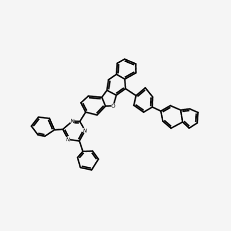 c1ccc(-c2nc(-c3ccccc3)nc(-c3ccc4c(c3)oc3c(-c5ccc(-c6ccc7ccccc7c6)cc5)c5ccccc5cc34)n2)cc1